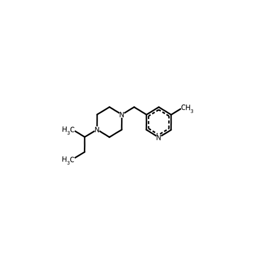 CCC(C)N1CCN(Cc2cncc(C)c2)CC1